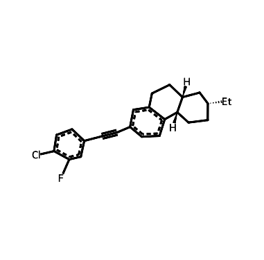 CC[C@@H]1CC[C@@H]2c3ccc(C#Cc4ccc(Cl)c(F)c4)cc3CC[C@@H]2C1